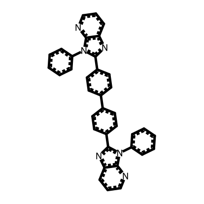 c1ccc(-n2c(-c3ccc(-c4ccc(-c5nc6cccnc6n5-c5ccccc5)cc4)cc3)nc3cccnc32)cc1